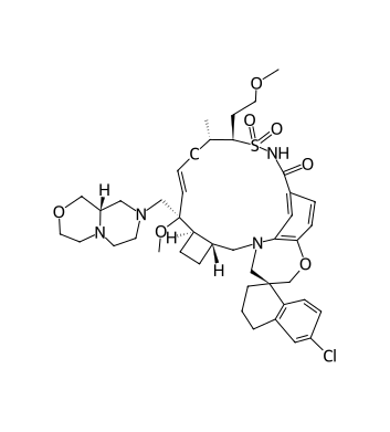 COCC[C@@H]1[C@@H](C)C/C=C/[C@](CN2CCN3CCOC[C@@H]3C2)(OC)[C@@H]2CC[C@H]2CN2C[C@@]3(CCCc4cc(Cl)ccc43)COc3ccc(cc32)C(=O)NS1(=O)=O